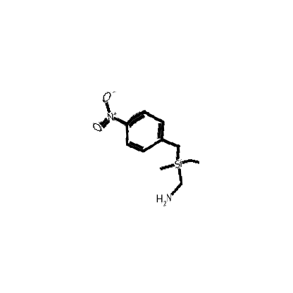 C[Si](C)(CN)Cc1ccc([N+](=O)[O-])cc1